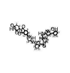 O=C1CCC(N2C(=O)c3ccc(N4CCC(CNC56CCCC(C5)C(C(=O)N5CCN7c8cc(-c9ccccc9O)nnc8NC[C@H]7C5)CC6)CC4)cc3C2=O)C(=O)N1